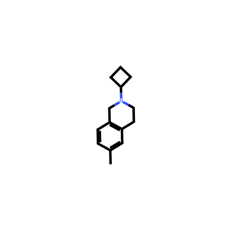 Cc1ccc2c(c1)CCN(C1CCC1)C2